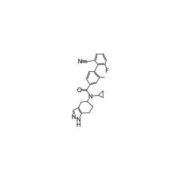 Cc1cc(C(=O)N(C2CC2)C2CCc3[nH]ncc3C2)ccc1-c1c(F)cccc1C#N